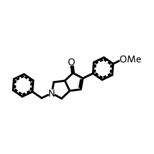 COc1ccc(C2=CC3CN(Cc4ccccc4)CC3C2=O)cc1